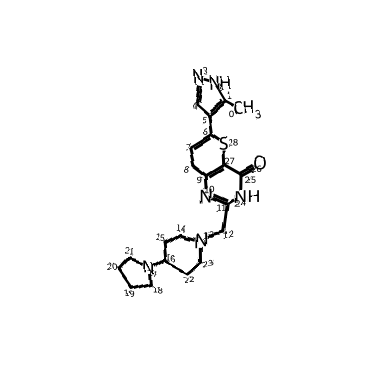 Cc1[nH]ncc1C1=CCc2nc(CN3CCC(N4CCCC4)CC3)[nH]c(=O)c2S1